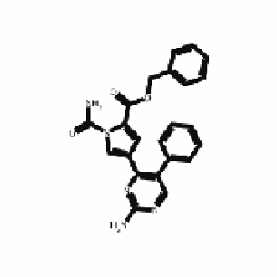 NC(=O)n1cc(-c2nc(N)ncc2-c2ccccc2)cc1C(=O)OCc1ccccc1